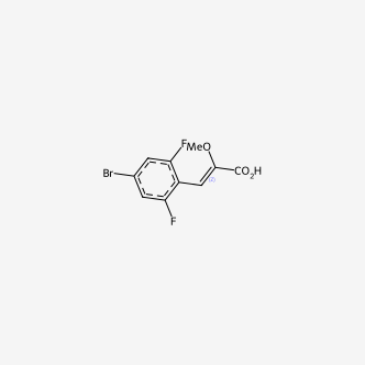 CO/C(=C\c1c(F)cc(Br)cc1F)C(=O)O